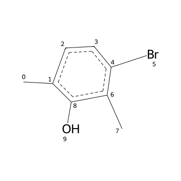 Cc1ccc(Br)c(C)c1O